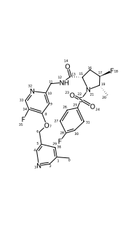 Cc1cncc(COc2cc(CNC(=O)[C@@H]3C[C@@H](F)[C@H](C)N3S(=O)(=O)c3ccc(F)cc3)ncc2F)c1